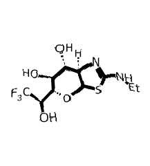 CCNC1=N[C@H]2C(O[C@H]([C@@H](O)C(F)(F)F)[C@@H](O)[C@@H]2O)S1